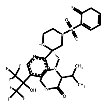 CC(C)C1C(=O)NCCN1C[C@@]1(c2ncc(C(O)(C(F)(F)F)C(F)(F)F)cn2)CN(S(=O)(=O)C2=CC=CCC2=S)CCN1